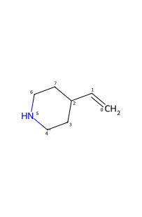 C=CC1C[CH]NCC1